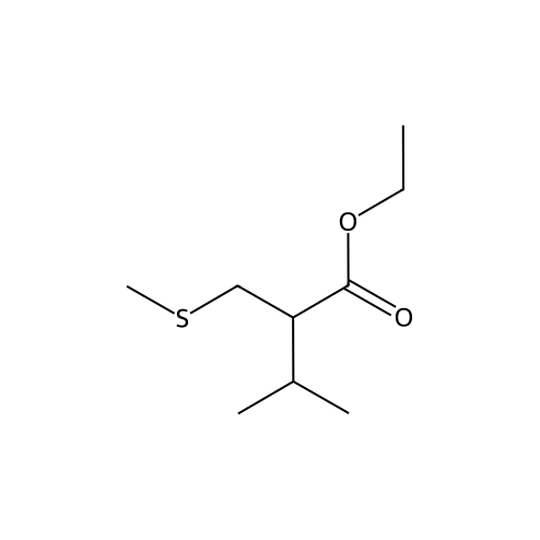 CCOC(=O)C(CSC)C(C)C